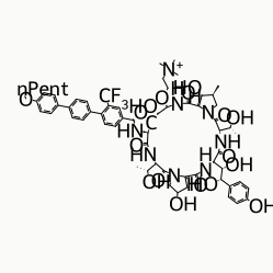 CCCCCOc1ccc(-c2ccc(-c3ccc(C(=O)N[C@H]4C[C@@H](O)[C@@H](OCC[N+](C)(C)C)NC(=O)[C@@H]5[C@@H](O)[C@@H](C)CN5C(=O)[C@H]([C@@H](C)O)NC(=O)[C@H]([C@H](O)[C@@H](O)c5ccc(O)cc5)NC(=O)[C@@H]5CC(O)CN5C(=O)[C@H]([C@@H](C)O)NC4=O)cc3C(F)(F)F)cc2)cc1